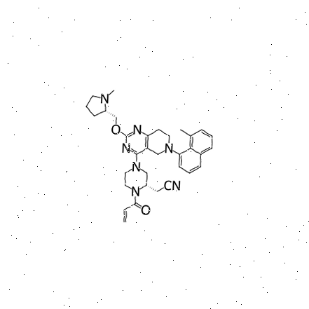 C=CC(=O)N1CCN(c2nc(OC[C@@H]3CCCN3C)nc3c2CN(c2cccc4cccc(C)c24)CC3)C[C@@H]1CC#N